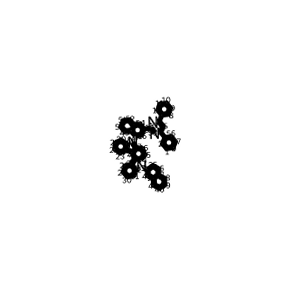 c1ccc(-c2cc(-c3ccccc3)nc(-c3cc(-n4c5ccccc5c5c6c7ccccc7n(-c7ccc8ccccc8c7)c6ccc54)c4ccccc4c3)n2)cc1